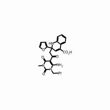 CC(C)Cn1c(N)c(C(=O)CC2(c3ccco3)C=C(C(=O)O)c3ccccc3N2)c(=O)n(C)c1=O